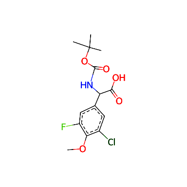 COc1c(F)cc(C(NC(=O)OC(C)(C)C)C(=O)O)cc1Cl